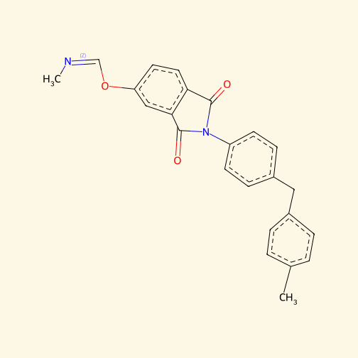 C/N=C\Oc1ccc2c(c1)C(=O)N(c1ccc(Cc3ccc(C)cc3)cc1)C2=O